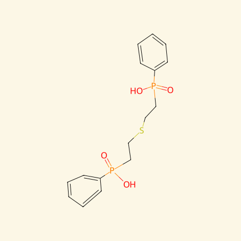 O=P(O)(CCSCCP(=O)(O)c1ccccc1)c1ccccc1